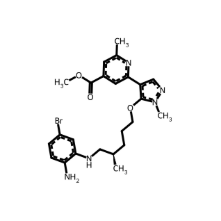 COC(=O)c1cc(C)nc(-c2cnn(C)c2OCCC[C@@H](C)CNc2cc(Br)ccc2N)c1